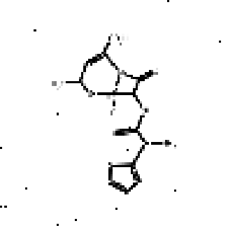 CC1C=C(C(=O)O)N2C(=O)C(NC(=O)C(N)c3cccs3)[C@H]2S1